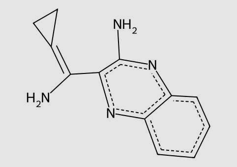 NC(=C1CC1)c1nc2ccccc2nc1N